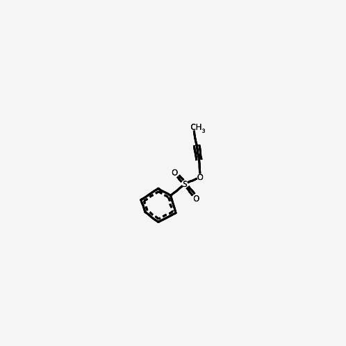 CC#COS(=O)(=O)c1ccccc1